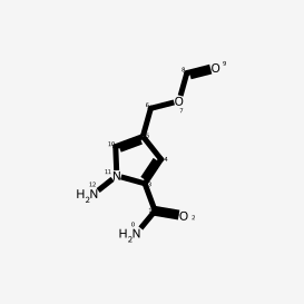 NC(=O)c1cc(COC=O)cn1N